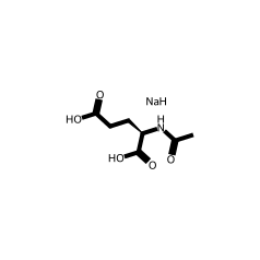 CC(=O)N[C@H](CCC(=O)O)C(=O)O.[NaH]